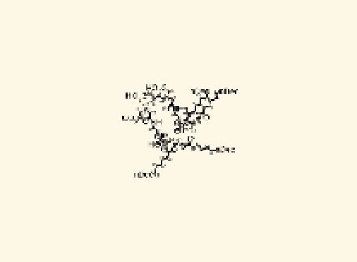 CCCCCCCCCCCCCCCC(=O)OC[C@H](COP(=O)(O)OCCNC(=O)CN(CCN(CCN(CC(=O)O)CC(=O)NCCOP(=O)(O)OC[C@@H](COC(=O)CCCCCCCCCCCCCCC)OC(=O)CCCCCCCCCCCCCCC)CC(=O)O)CC(=O)O)OC(=O)CCCCCCCCCCCCCCC